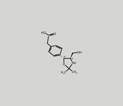 CC1(C)N[C@H](CO)[C@@H](c2ccc(CS(=O)O)cc2)O1